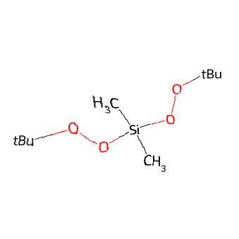 CC(C)(C)OO[Si](C)(C)OOC(C)(C)C